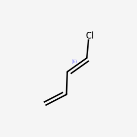 C=C/C=C/Cl